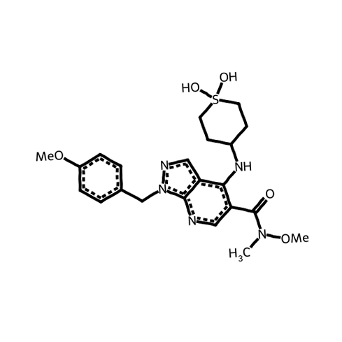 COc1ccc(Cn2ncc3c(NC4CCS(O)(O)CC4)c(C(=O)N(C)OC)cnc32)cc1